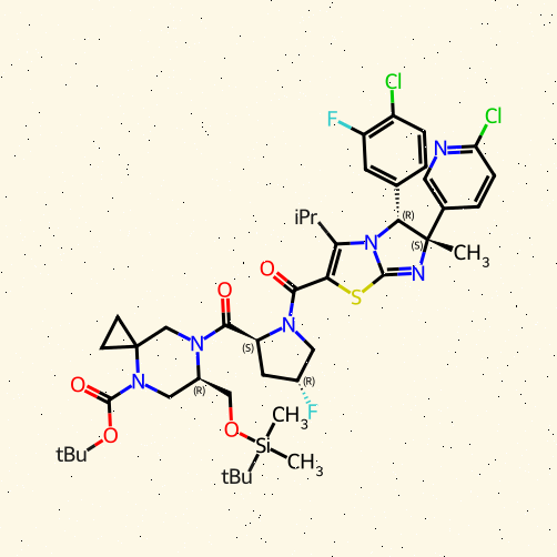 CC(C)C1=C(C(=O)N2C[C@H](F)C[C@H]2C(=O)N2CC3(CC3)N(C(=O)OC(C)(C)C)C[C@@H]2CO[Si](C)(C)C(C)(C)C)SC2=N[C@@](C)(c3ccc(Cl)nc3)[C@@H](c3ccc(Cl)c(F)c3)N21